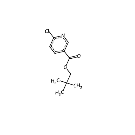 CC(C)(C)COC(=O)c1ccc(Cl)nc1